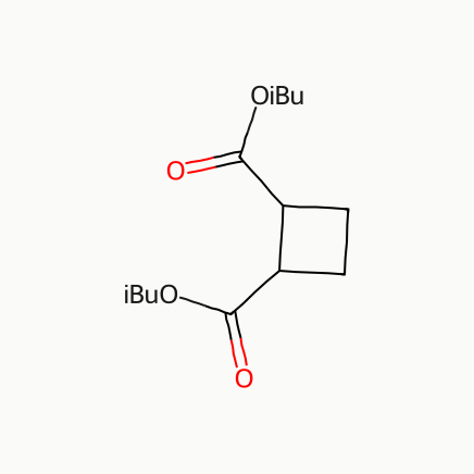 CC(C)COC(=O)C1CCC1C(=O)OCC(C)C